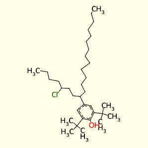 CCCCCCCCCCCCCC(CCC(Cl)CCCC)c1cc(C(C)(C)C)c(O)c(C(C)(C)C)c1